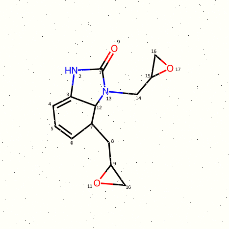 O=C1NC2=CC=CC(CC3CO3)C2N1CC1CO1